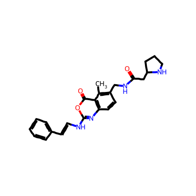 Cc1c(CNC(=O)CC2CCCN2)ccc2nc(NC=Cc3ccccc3)oc(=O)c12